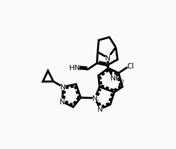 N=CC1=C(N)CC2CCC1N2c1cc2c(cnn2-c2cnn(C3CC3)c2)cc1Cl